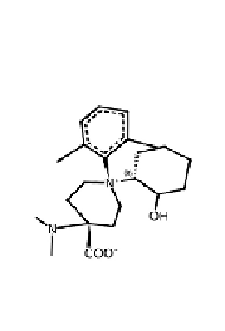 Cc1cccc(C)c1[N@+]1([C@@H]2CCCCC2O)CC[C@@](C(=O)[O-])(N(C)C)CC1